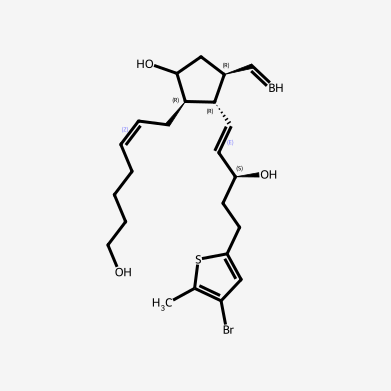 B=C[C@@H]1CC(O)[C@H](C/C=C\CCCCO)[C@H]1/C=C/[C@@H](O)CCc1cc(Br)c(C)s1